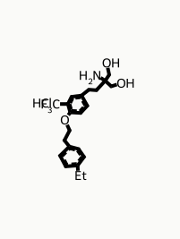 CCc1ccc(CCOc2ccc(CCC(N)(CO)CO)cc2C(F)(F)F)cc1.Cl